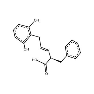 O=C(O)[C@H](Cc1ccccc1)N=CCc1c(O)cccc1O